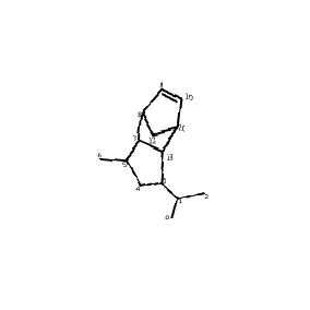 CC(C)C1CC(C)C2C3C=CC(C3)C12